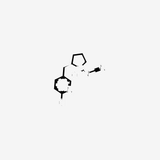 N#CN=S1(=O)CCC[C@@H]1Cc1ccc(Cl)nc1